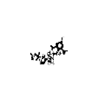 CC(C)c1cc(F)cc(C(C)C)c1NC(=O)NS(=O)(=O)c1ccn(C(C)(C)CN(C)C)n1